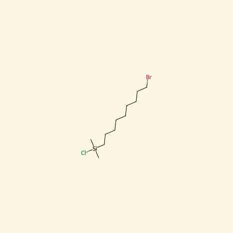 C[Si](C)(Cl)CCCCCCCCCBr